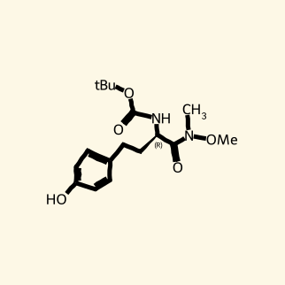 CON(C)C(=O)[C@@H](CCc1ccc(O)cc1)NC(=O)OC(C)(C)C